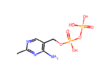 Cc1ncc(COP(=O)(O)OP(=O)(O)O)c(N)n1